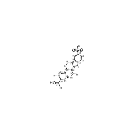 Cc1nc(N2CCn3c(cc4ccc(S(C)(=O)=O)cc43)C2C(C)C)ncc1[C@@H](C)O